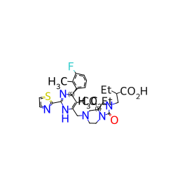 CCOC(=O)C1=C(CN2CCN3C(=O)N(CC(CC)C(=O)O)C[C@]3(C)C2)NC(c2nccs2)=N[C@H]1c1cccc(F)c1C